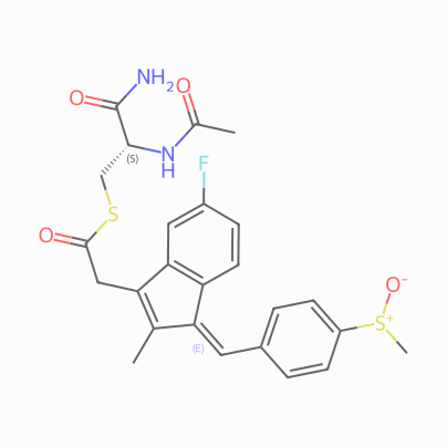 CC(=O)N[C@H](CSC(=O)CC1=C(C)/C(=C/c2ccc([S+](C)[O-])cc2)c2ccc(F)cc21)C(N)=O